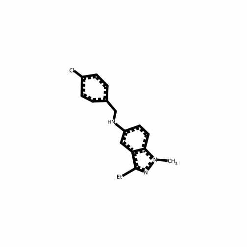 CCc1nn(C)c2ccc(NCc3ccc(Cl)cc3)cc12